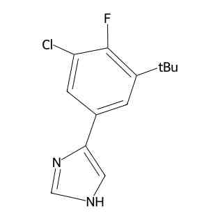 CC(C)(C)c1cc(-c2c[nH]cn2)cc(Cl)c1F